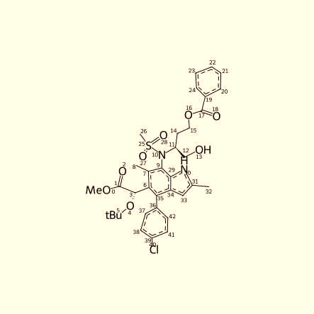 COC(=O)[C@@H](OC(C)(C)C)c1c(C)c(N([C@H](CO)CCOC(=O)c2ccccc2)S(C)(=O)=O)c2[nH]c(C)cc2c1-c1ccc(Cl)cc1